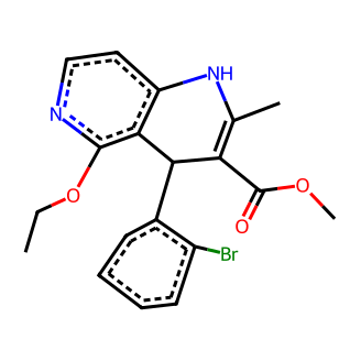 CCOc1nccc2c1C(c1ccccc1Br)C(C(=O)OC)=C(C)N2